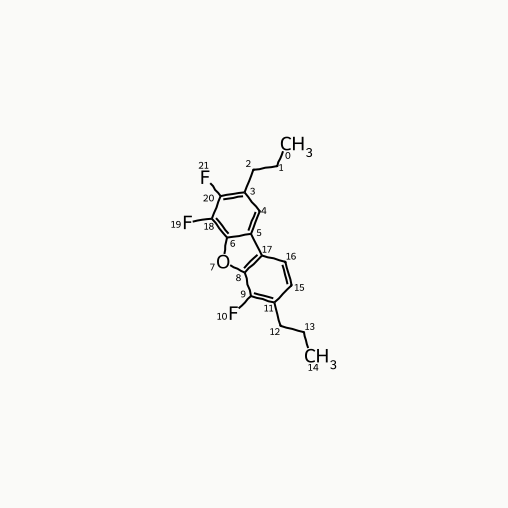 CCCc1cc2c(oc3c(F)c(CCC)ccc32)c(F)c1F